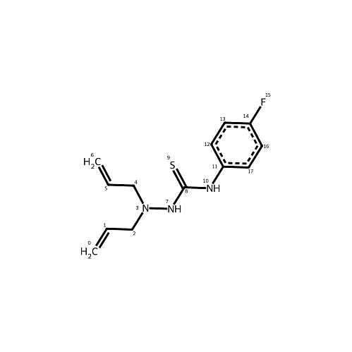 C=CCN(CC=C)NC(=S)Nc1ccc(F)cc1